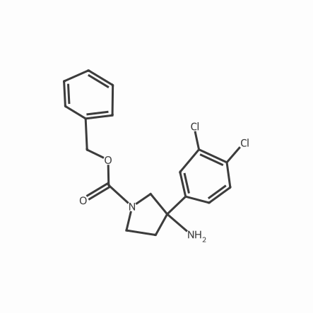 NC1(c2ccc(Cl)c(Cl)c2)CCN(C(=O)OCc2ccccc2)C1